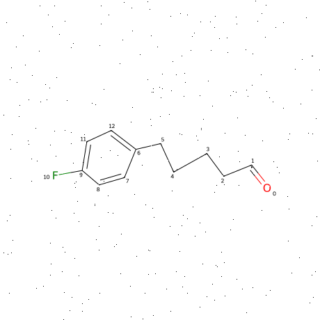 O=[C]CCCCc1ccc(F)cc1